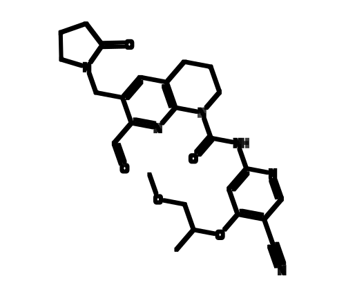 COCC(C)Oc1cc(NC(=O)N2CCCc3cc(CN4CCCC4=O)c(C=O)nc32)ncc1C#N